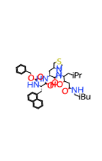 CCC(C)CNC(=O)CC(O)C(CC(C)C)NC(=O)[C@H](CC1CSCN1)NC(=O)[C@H](Cc1cccc2ccccc12)NC(=O)OCc1ccccc1